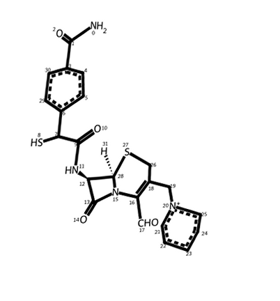 NC(=O)c1ccc(C(S)C(=O)N[C@@H]2C(=O)N3C(C=O)=C(C[n+]4ccccc4)CS[C@H]23)cc1